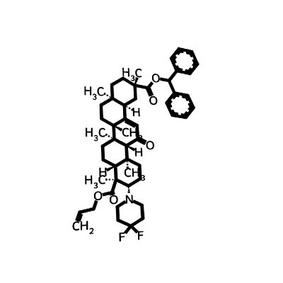 C=CCOC(=O)[C@]1(C)[C@@H](N2CCC(F)(F)CC2)CC[C@@]2(C)[C@H]1CC[C@]1(C)[C@@H]2C(=O)C=C2[C@@H]3C[C@@](C)(C(=O)OC(c4ccccc4)c4ccccc4)CC[C@]3(C)CC[C@]21C